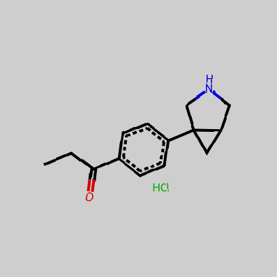 CCC(=O)c1ccc(C23CNCC2C3)cc1.Cl